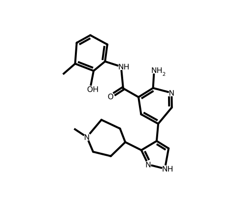 Cc1cccc(NC(=O)c2cc(-c3c[nH]nc3C3CCN(C)CC3)cnc2N)c1O